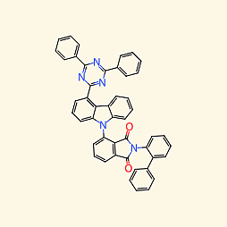 O=C1c2cccc(-n3c4ccccc4c4c(-c5nc(-c6ccccc6)nc(-c6ccccc6)n5)cccc43)c2C(=O)N1c1ccccc1-c1ccccc1